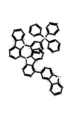 c1ccc([Si](c2ccccc2)(c2ccccc2)c2cccc(-n3c4ccccc4c4cccc(-n5c6ccccc6c6c(-c7ccc8sc9ccccc9c8c7)cccc65)c43)c2)cc1